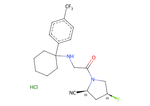 Cl.N#C[C@@H]1C[C@H](F)CN1C(=O)CNC1(c2ccc(C(F)(F)F)cc2)CCCCC1